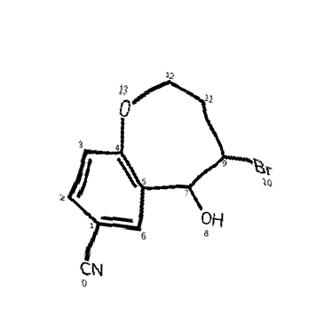 N#Cc1ccc2c(c1)C(O)C(Br)CCO2